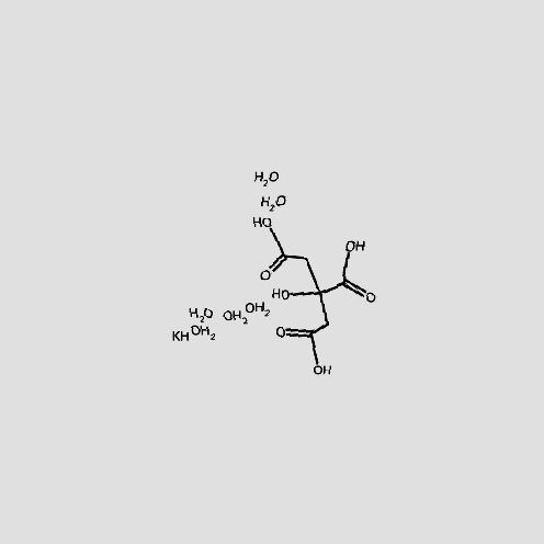 O.O.O.O.O.O.O=C(O)CC(O)(CC(=O)O)C(=O)O.[KH]